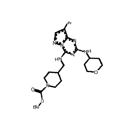 CC(C)c1cnn2c(NCC3CCN(C(=O)OC(C)(C)C)CC3)nc(NC3CCOCC3)nc12